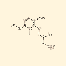 CCCOc1ccc(C=O)c(OCC(O)CC(=O)O)c1C